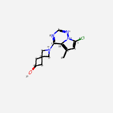 Cc1cc(Cl)n2ncnc(N3CC4(CC(=O)C4)C3)c12